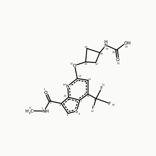 CNC(=O)c1csc2c(C(F)(F)F)cc(OC3CC(NC(=O)O)C3)nc12